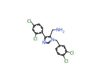 NCc1c(-c2ccc(Cl)cc2Cl)ncn1Cc1ccc(Cl)c(Cl)c1